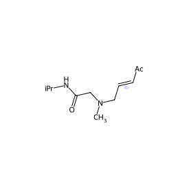 CC(=O)/C=C/CN(C)CC(=O)NC(C)C